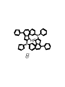 C1=C(P(c2ccccc2)c2ccccc2)[CH]([Hf+2][CH]2C(P(c3ccccc3)c3ccccc3)=Cc3c(-c4ccccc4)cccc32)c2cccc(-c3ccccc3)c21.[Cl-].[Cl-]